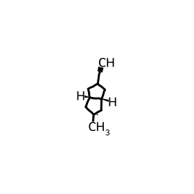 C#CC1C[C@H]2C[C](C)C[C@H]2C1